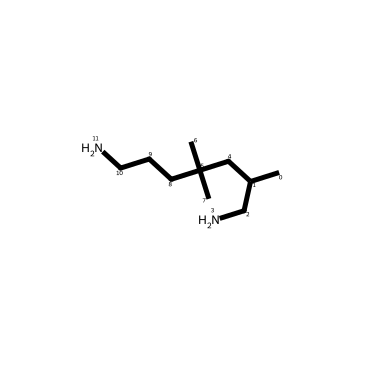 CC(CN)CC(C)(C)CCCN